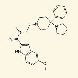 COc1ccc2[nH]c(C(=O)N(C)CCN3CCC(c4ccccc4)(N4CCCC4)CC3)cc2c1